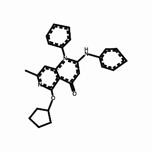 Cc1cc2c(c(OC3CCCC3)n1)c(=O)cc(Nc1ccccc1)n2-c1ccccc1